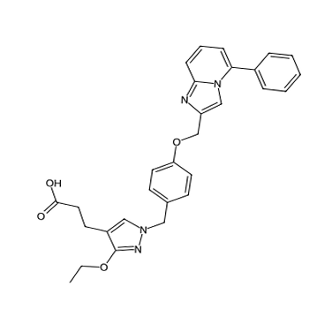 CCOc1nn(Cc2ccc(OCc3cn4c(-c5ccccc5)cccc4n3)cc2)cc1CCC(=O)O